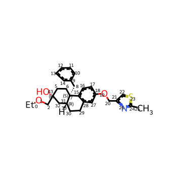 CCOC[C@@]1(O)CC[C@@]2(Cc3ccccc3)c3ccc(OCc4csc(C)n4)cc3CC[C@@H]2C1